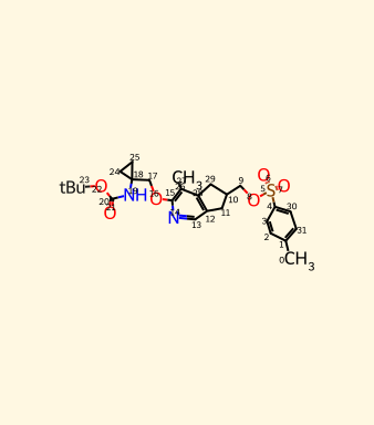 Cc1ccc(S(=O)(=O)OCC2Cc3cnc(OCC4(NC(=O)OC(C)(C)C)CC4)c(C)c3C2)cc1